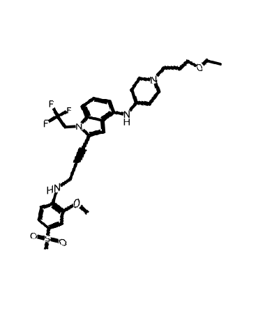 CCOCCCN1CCC(Nc2cccc3c2cc(C#CCNc2ccc(S(C)(=O)=O)cc2OC)n3CC(F)(F)F)CC1